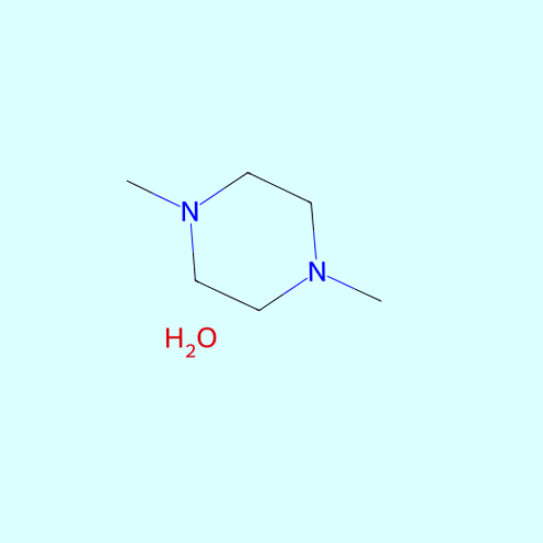 CN1CCN(C)CC1.O